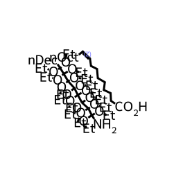 CCCCCCCC/C=C\CCCCCCCC(=O)O.CCCCCCCCCCC(OCC)(OCC)C(OCC)(OCC)C(OCC)(OCC)C(OCC)(OCC)C(OCC)(OCC)C(OCC)(OCC)C(OCC)(OCC)C(N)(OCC)OCC